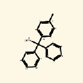 CNC(c1ccccc1)(c1ccccc1)c1ccc(C)cc1